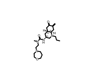 C=C1C[C@@H]2[C@@H](CC1=O)C[C@H](NC(=O)N(C)CCN1CCCOCC1)CN2CCC